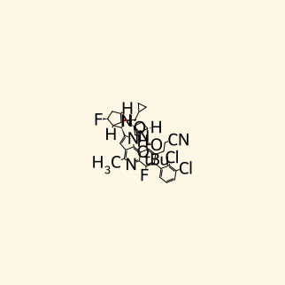 Cc1nc2c(F)c(-c3cccc(Cl)c3Cl)c(CCC#N)cc2c2c1cc([C@H]1[C@H]3C[C@H](C[C@@H]3F)N1C(=O)C1CC1)n2[C@H]1[C@@H]2C[C@H]1N(C(=O)OC(C)(C)C)C2